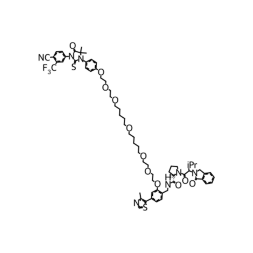 Cc1ncsc1-c1ccc(CNC(=O)[C@@H]2CCCN2C(=O)C(C(C)C)N2Cc3ccccc3C2=O)c(OCCOCCOCCCCCOCCCCCOCCOCCOc2ccc(N3C(=S)N(c4ccc(C#N)c(C(F)(F)F)c4)C(=O)C3(C)C)cc2)c1